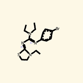 CCN(CC)C(=N\c1ccc(Br)cc1)/N=C1/SCCN1CC